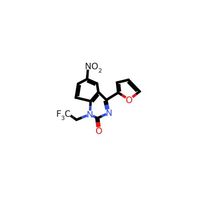 O=c1nc(-c2ccco2)c2cc([N+](=O)[O-])ccc2n1CC(F)(F)F